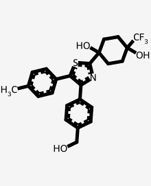 Cc1ccc(-c2sc(C3(O)CCC(O)(C(F)(F)F)CC3)nc2-c2ccc(CO)cc2)cc1